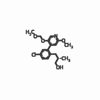 COCOc1cnc(OC)cc1-c1cc(Cl)ccc1C[C@H](C)CO